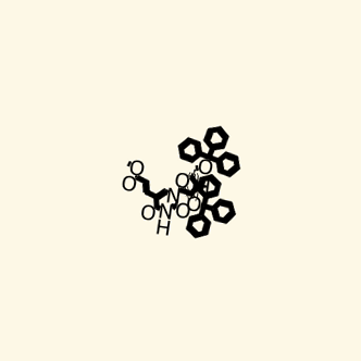 COC(=O)C=Cc1cn([C@@H]2O[C@H](COC(c3ccccc3)(c3ccccc3)c3ccccc3)[C@@H](I)[C@H]2OC(c2ccccc2)(c2ccccc2)c2ccccc2)c(=O)[nH]c1=O